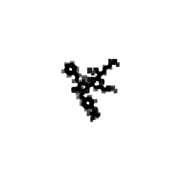 NCCC[C@@H](N)C(=O)N[C@H](CCCN)C(=O)N[C@@H](CCc1ccccc1)C(=O)NCc1ccc(OC(F)(F)F)cc1